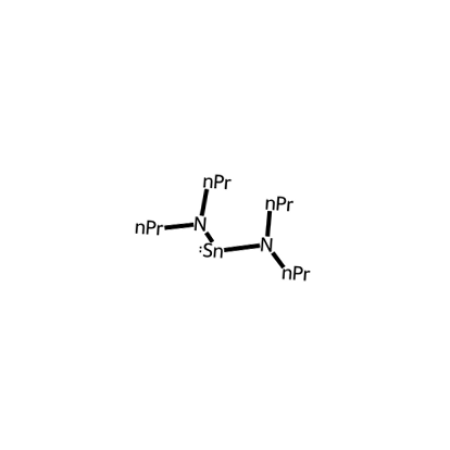 CCC[N](CCC)[Sn][N](CCC)CCC